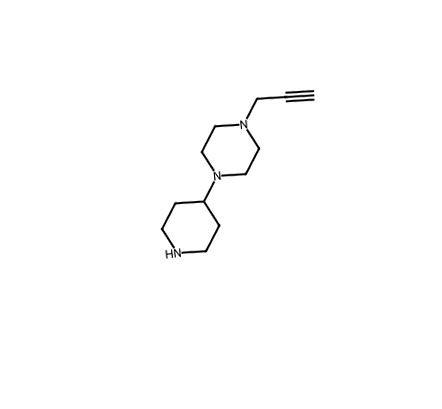 C#CCN1CCN(C2CCNCC2)CC1